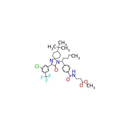 CCCCC(c1ccc(C(=O)NCCC(=O)OC)cc1)N1C(=O)C(c2cc(Cl)cc(C(F)(F)F)c2)=NC12CCC(C(C)(C)C)CC2